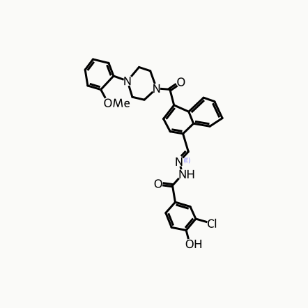 COc1ccccc1N1CCN(C(=O)c2ccc(/C=N/NC(=O)c3ccc(O)c(Cl)c3)c3ccccc23)CC1